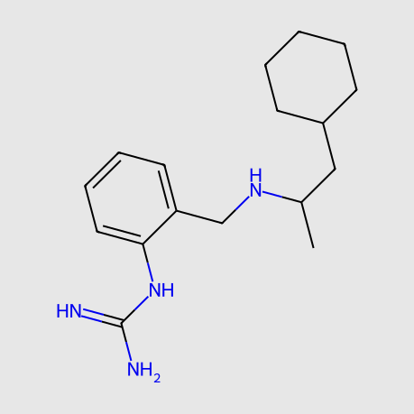 CC(CC1CCCCC1)NCc1ccccc1NC(=N)N